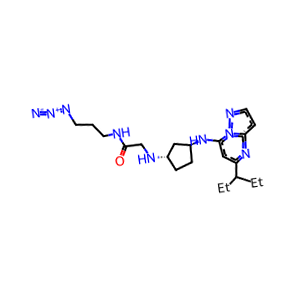 CCC(CC)c1cc(N[C@H]2CC[C@H](NCC(=O)NCCCN=[N+]=[N-])C2)n2nccc2n1